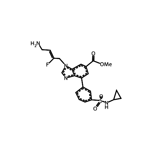 COC(=O)c1cc(-c2cccc(S(=O)(=O)NC3CC3)c2)c2ncn(CC(F)=CCN)c2c1